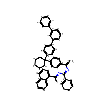 C=C(/N=C(\N=C(/C)c1cccc2ccccc12)C1=CCCC=C1)c1ccc(C2(c3ccc(-c4cccc(-c5ccccc5)c4)cc3)CCCCC2)cc1